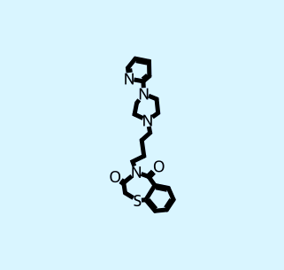 O=C1CSc2ccccc2C(=O)N1CCCCN1CCN(c2ccccn2)CC1